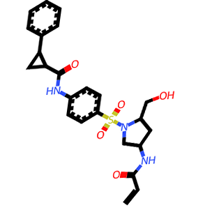 C=CC(=O)NC1CC(CO)N(S(=O)(=O)c2ccc(NC(=O)C3CC3c3ccccc3)cc2)C1